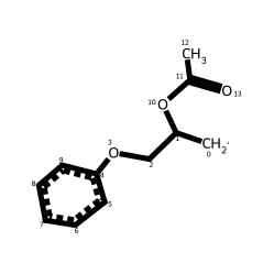 [CH2]C(COc1ccccc1)OC(C)=O